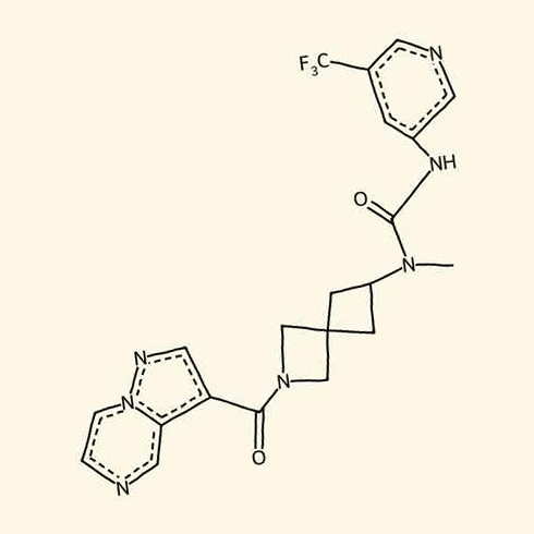 CN(C(=O)Nc1cncc(C(F)(F)F)c1)C1CC2(C1)CN(C(=O)c1cnn3ccncc13)C2